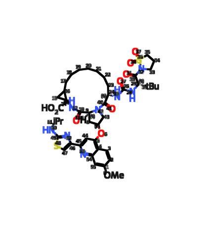 COc1ccc2c(O[C@@H]3C[C@H]4C(=O)N[C@]5(C(=O)O)CC5CCCCCCC[C@H](NC(=O)N[C@H](C(=O)N5CCCS5(=O)=O)C(C)(C)C)C(=O)N4C3)cc(-c3csc(NC(C)C)n3)nc2c1